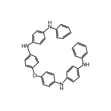 c1ccc(Nc2ccc(Nc3ccc(Oc4ccc(Nc5ccc(Nc6ccccc6)cc5)cc4)cc3)cc2)cc1